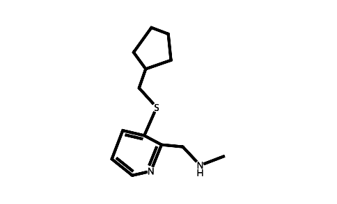 CNCc1ncccc1SCC1CCCC1